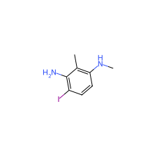 CNc1ccc(I)c(N)c1C